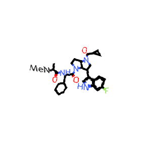 CNC(C)C(=O)NC(C(=O)N1CCC2C1C(c1c[nH]c3cc(F)ccc13)CN2C(=O)C1CC1)C1CCCCC1